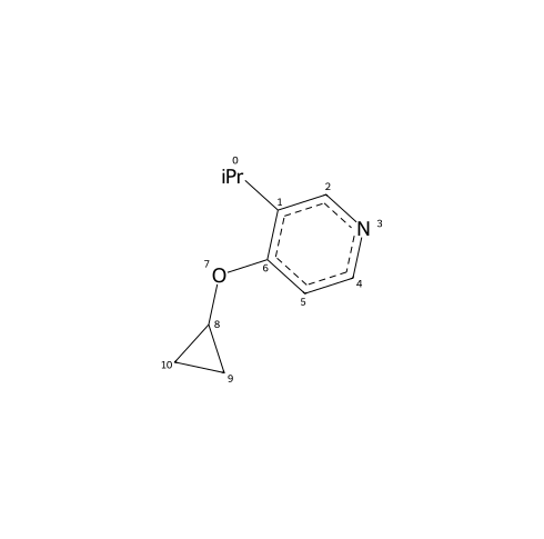 CC(C)c1cnccc1OC1CC1